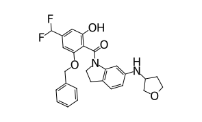 O=C(c1c(O)cc(C(F)F)cc1OCc1ccccc1)N1CCc2ccc(NC3CCOC3)cc21